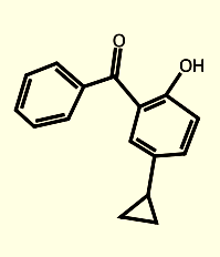 O=C(c1ccccc1)c1cc(C2CC2)ccc1O